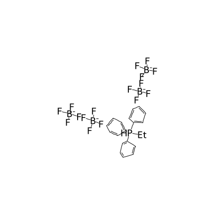 CC[PH](c1ccccc1)(c1ccccc1)c1ccccc1.F[B-](F)(F)F.F[B-](F)(F)F.F[B-](F)(F)F.F[B-](F)(F)F